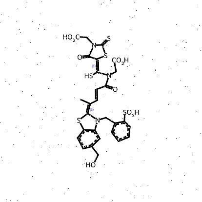 C/C(C=CC(=O)N(CC(=O)O)/C(S)=C1\SC(=S)N(CC(=O)O)C1=O)=C1\Sc2ccc(CO)cc2N1Cc1ccccc1S(=O)(=O)O